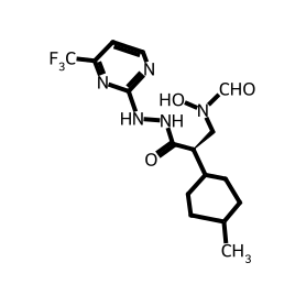 CC1CCC([C@H](CN(O)C=O)C(=O)NNc2nccc(C(F)(F)F)n2)CC1